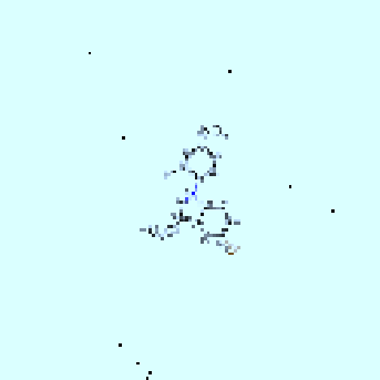 Cc1cc([N+](=O)[O-])ccc1-n1cc(C(=O)O)c2cc(Br)ccc21